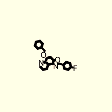 Fc1ccc(-c2nc3c(cc(OCc4ccccc4)c4ncccc43)o2)cc1